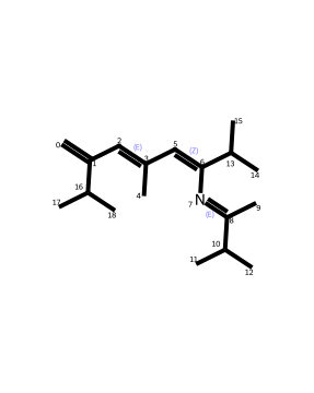 C=C(/C=C(C)/C=C(\N=C(/C)C(C)C)C(C)C)C(C)C